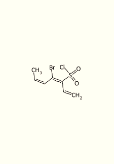 C=C/C(=C(Br)\C=C/C)S(=O)(=O)Cl